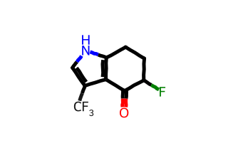 O=C1c2c(C(F)(F)F)c[nH]c2CCC1F